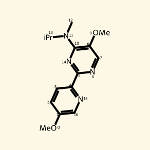 COc1ccc(-c2ncc(OC)c(N(C)C(C)C)n2)nc1